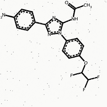 CC(=O)Nc1nc(-c2ccc(N)cc2)nn1-c1ccc(OC(F)C(F)F)cc1